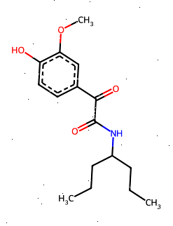 CCCC(CCC)NC(=O)C(=O)c1ccc(O)c(OC)c1